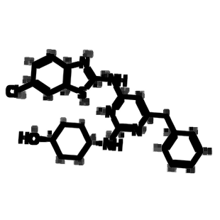 O[C@H]1CC[C@H](Nc2nc(Cc3ccccc3)cc(Nc3nc4ccc(Cl)cc4s3)n2)CC1